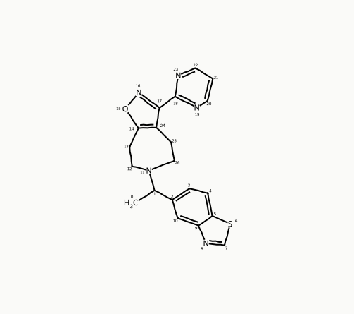 CC(c1ccc2scnc2c1)N1CCc2onc(-c3ncccn3)c2CC1